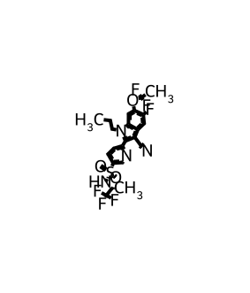 CCCn1c(-c2ccc(S(=O)(=O)N[C@@H](C)C(F)(F)F)cn2)c(C#N)c2cc(F)c(OC(C)(F)F)cc21